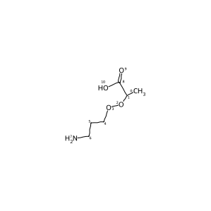 CC(OOCCCN)C(=O)O